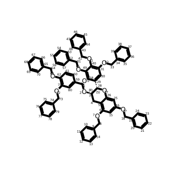 O=C(O[C@@H]1Cc2c(OCc3ccccc3)cc(OCc3ccccc3)cc2O[C@H]1c1cc(OCc2ccccc2)c(OCc2ccccc2)c(OCc2ccccc2)c1)c1ccc(OCc2ccccc2)c(OCc2ccccc2)c1